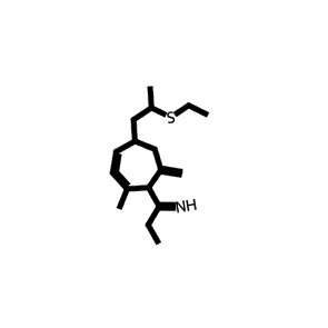 C=C1CC(CC(C)SCC)C=C=C(C)C1C(=N)CC